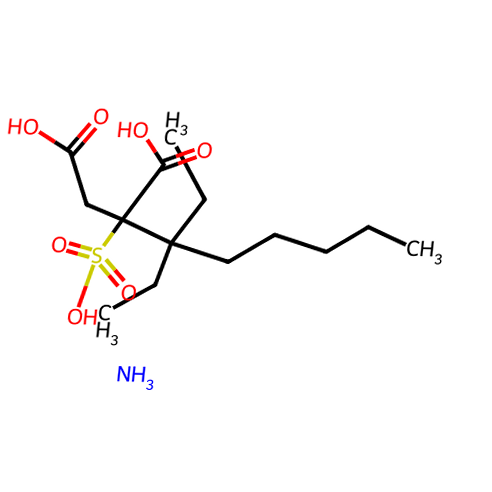 CCCCCC(CC)(CC)C(CC(=O)O)(C(=O)O)S(=O)(=O)O.N